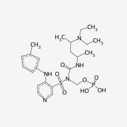 CCN(CC)C(C)CC(C)NC(=O)N(COP(=O)(O)O)S(=O)(=O)c1cnccc1Nc1cccc(C)c1